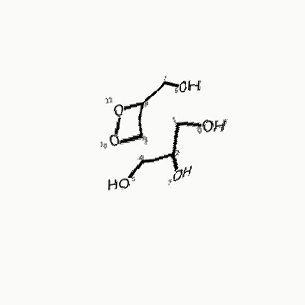 OCC(O)CO.OCC1COO1